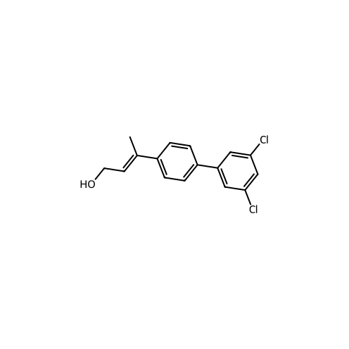 CC(=CCO)c1ccc(-c2cc(Cl)cc(Cl)c2)cc1